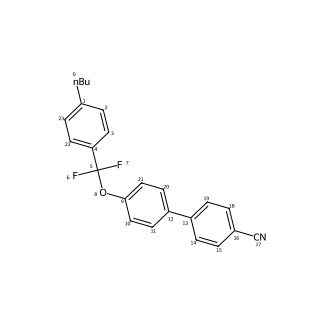 CCCCc1ccc(C(F)(F)Oc2ccc(-c3ccc(C#N)cc3)cc2)cc1